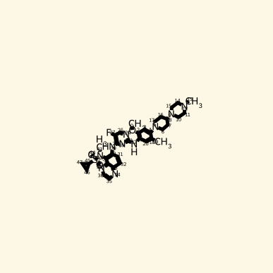 COc1cc(N2CCC(N3CCN(C)CC3)CC2)c(C)cc1Nc1ncc(F)c(Nc2ccc3nccnc3c2N(C)S(=O)(=O)C2CC2)n1